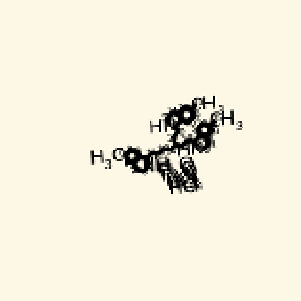 Cc1ccc2c(c1)CCNC2CCCCC(CCC1NCCc2cc(C)ccc21)CCC1NCCc2cc(C)ccc21.Cl.Cl.Cl.O.O.O